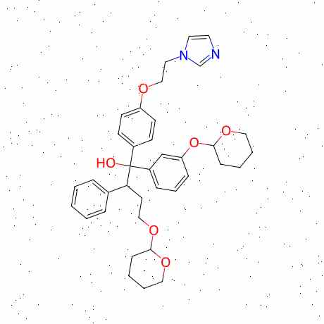 OC(c1ccc(OCCn2ccnc2)cc1)(c1cccc(OC2CCCCO2)c1)C(CCOC1CCCCO1)c1ccccc1